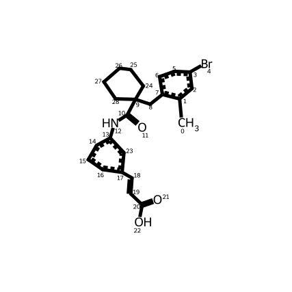 Cc1cc(Br)ccc1CC1(C(=O)Nc2cccc(/C=C/C(=O)O)c2)CCCCC1